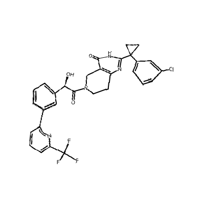 O=C([C@H](O)c1cccc(-c2cccc(C(F)(F)F)n2)c1)N1CCc2nc(C3(c4cccc(Cl)c4)CC3)[nH]c(=O)c2C1